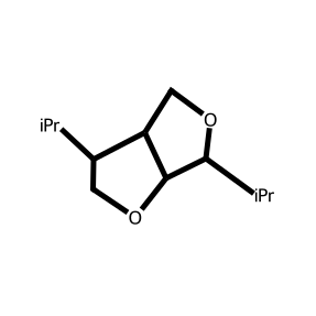 CC(C)C1COC2C1COC2C(C)C